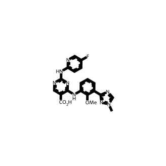 COc1c(Nc2nc(Nc3ccc(F)cn3)ncc2C(=O)O)cccc1-c1ncn(C)n1